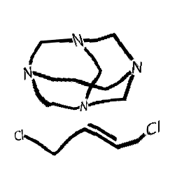 C1N2CN3CN1CN(C2)C3.Cl/C=C/CCl